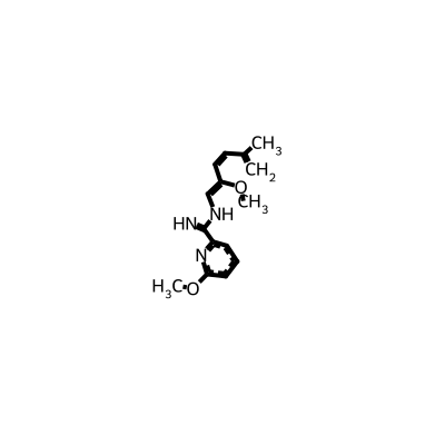 C=C(C)/C=C\C(=C\NC(=N)c1cccc(OC)n1)OC